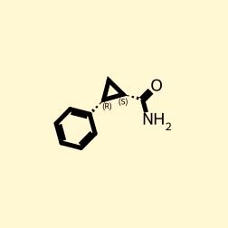 NC(=O)[C@H]1C[C@H]1c1ccccc1